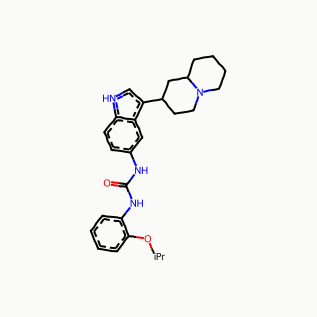 CC(C)Oc1ccccc1NC(=O)Nc1ccc2[nH]cc(C3CCN4CCCCC4C3)c2c1